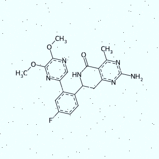 COc1ncc(-c2cc(F)ccc2C2Cc3nc(N)nc(C)c3C(=O)N2)nc1OC